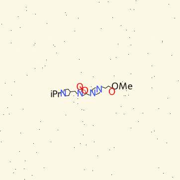 COC(=O)CCCN1CCN(CC2CN(CCC3CCN(C(C)C)CC3)C(=O)O2)CC1